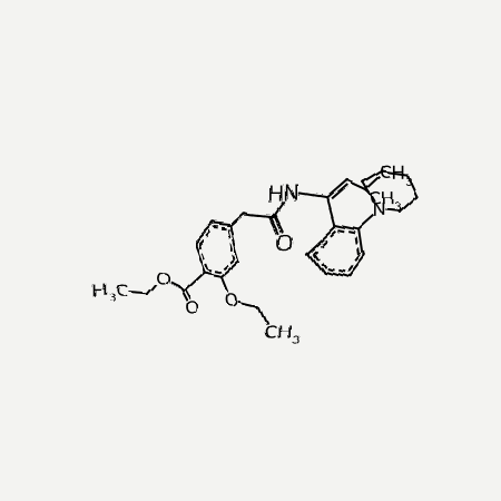 CCOC(=O)c1ccc(CC(=O)N/C(=C/C(C)C)c2ccccc2N2CCCCC2)cc1OCC